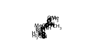 COc1cc(N2CCC(C)(OC)CC2)c(-c2cnn(C)c2)cc1Nc1ncc(Br)c(Nc2ccc3nccnc3c2P(C)C)n1